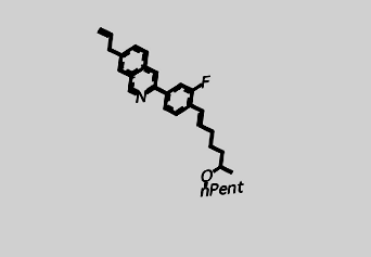 C=CCc1ccc2cc(-c3ccc(C=CCCCC(C)OCCCCC)c(F)c3)ncc2c1